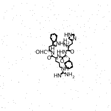 N=C(N)NCCC[C@H](NC(=O)[C@@H](Cc1ccccc1)NC(=O)[C@@H](N)Cc1c[nH]cn1)C(=O)N[C@H]([C]=O)Cc1c[nH]c2ccccc12